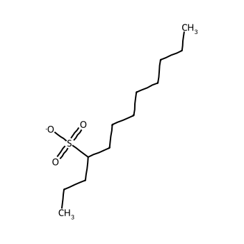 CCCCCCCCC(CCC)S([O])(=O)=O